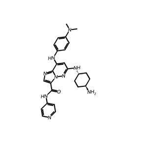 CN(C)c1ccc(Nc2cc(N[C@H]3CC[C@H](N)CC3)nn3c(C(=O)Nc4ccncc4)cnc23)cc1